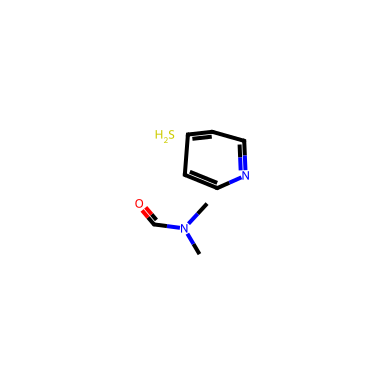 CN(C)C=O.S.c1ccncc1